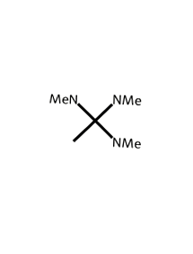 CNC(C)(NC)NC